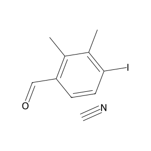 C#N.Cc1c(I)ccc(C=O)c1C